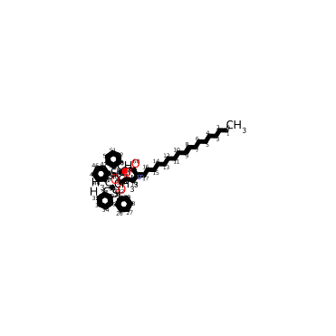 CCCCCCCCC=CCCCCCCC/C=C1/CC(C(O[Si](c2ccccc2)(c2ccccc2)C(C)(C)C)O[Si](c2ccccc2)(c2ccccc2)C(C)(C)C)OC1=O